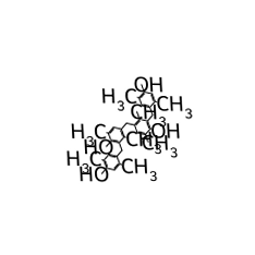 Cc1cc(Cc2c(C)c(Cc3cc(C)c(O)c(Cc4cc(C)c(O)cc4C)c3C)cc(C)c2O)c(C)cc1O